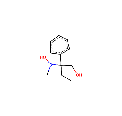 CCC(CO)(c1ccccc1)N(C)O